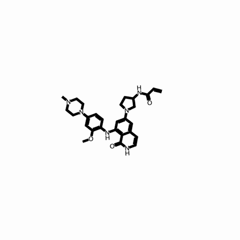 C=CC(=O)NC1CCN(c2cc(Nc3ccc(N4CCN(C)CC4)cc3OC)c3c(=O)[nH]ccc3c2)C1